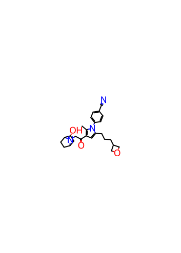 Cc1c(C(=O)CN2C3CCC2[C@@H](O)C3)cc(CCCC2COC2)n1-c1ccc(C#N)cc1